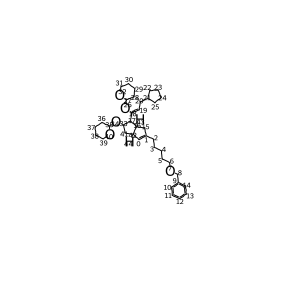 C1=C(CCCCCOCc2ccccc2)C[C@H]2[C@H](C(=CCC3CCCC3)OC3CCCCO3)[C@@H](OC3CCCCO3)C[C@@H]12